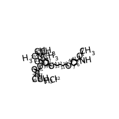 CCOC(=N)c1ccc(OCCCCCOc2ccc(C(=O)N(C(C)C)C(C)C)c(OCC(=O)N(CC)CC)c2)cc1.Cl